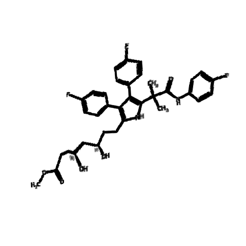 COC(=O)C[C@H](O)C[C@H](O)CCc1[nH]c(C(C)(C)C(=O)Nc2ccc(F)cc2)c(-c2ccc(F)cc2)c1-c1ccc(F)cc1